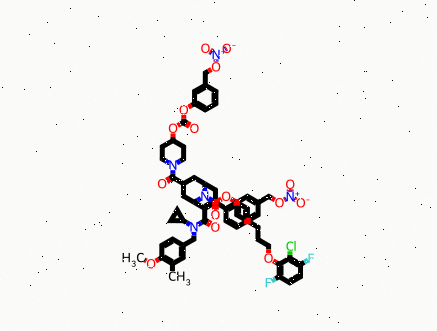 COc1ccc(CN(C(=O)C2=C(c3ccc(CCCOc4c(F)ccc(F)c4Cl)cc3)CC3CC(C(=O)N4CCC(OC(=O)Oc5cccc(CO[N+](=O)[O-])c5)CC4)CC2N3C(=O)Oc2cccc(CO[N+](=O)[O-])c2)C2CC2)cc1C